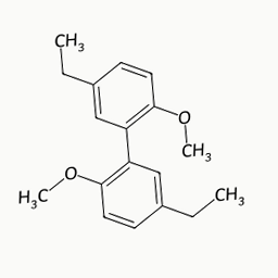 CCc1ccc(OC)c(-c2cc(CC)ccc2OC)c1